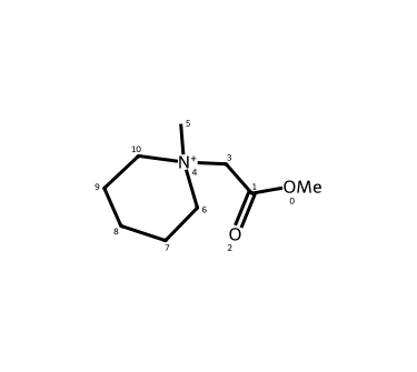 COC(=O)C[N+]1(C)CCCCC1